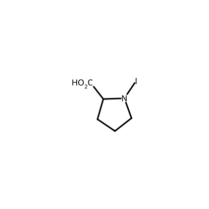 O=C(O)C1CCCN1I